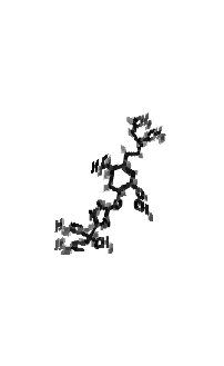 CCN(C)CCc1cc(OC)c(Oc2nc(C(C)(C)C)ns2)cc1C